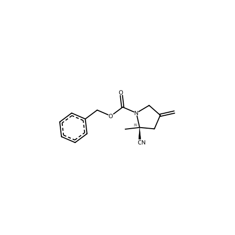 C=C1CN(C(=O)OCc2ccccc2)[C@](C)(C#N)C1